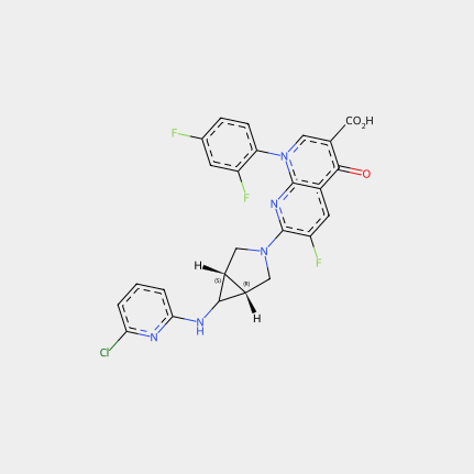 O=C(O)c1cn(-c2ccc(F)cc2F)c2nc(N3C[C@@H]4C(Nc5cccc(Cl)n5)[C@@H]4C3)c(F)cc2c1=O